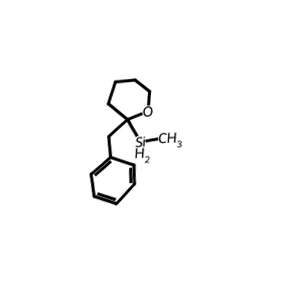 C[SiH2]C1(Cc2ccccc2)CCCCO1